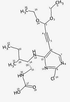 CCOC(C#Cc1cnc(Cl)nc1N[C@H](CNC(=O)O)C(C)CC)OCC